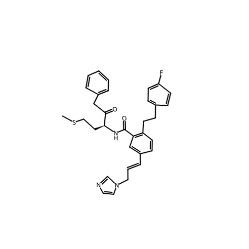 CSCC[C@H](NC(=O)c1cc(/C=C/Cn2ccnc2)ccc1CCc1ccc(F)cc1)C(=O)Cc1ccccc1